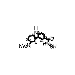 CNC1CCc2[nH]c3ccc(C(=O)NO)cc3c2C1